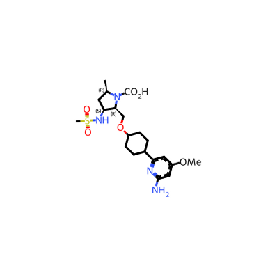 COc1cc(N)nc(C2CCC(OC[C@H]3[C@@H](NS(C)(=O)=O)C[C@@H](C)N3C(=O)O)CC2)c1